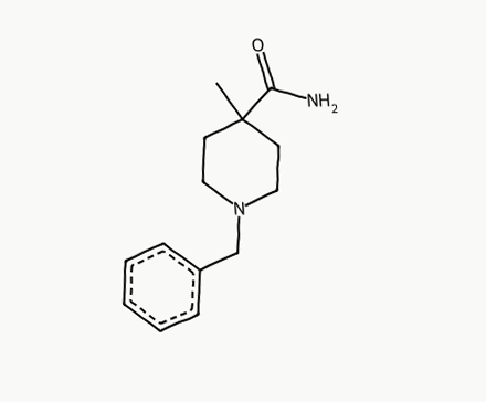 CC1(C(N)=O)CCN(Cc2ccccc2)CC1